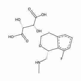 CNC[C@@H]1OCCc2cccc(F)c21.O=C(O)[C@H](O)[C@@H](O)C(=O)O